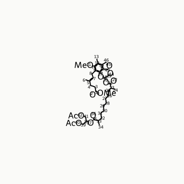 COC(=O)CC/C(C)=C/Cc1c(OC)c(C)c2c(c1OC(C)OC(=O)C(C)CCCCCCCCC(C)C(=O)OC(COC(C)=O)COC(C)=O)C(=O)OC2